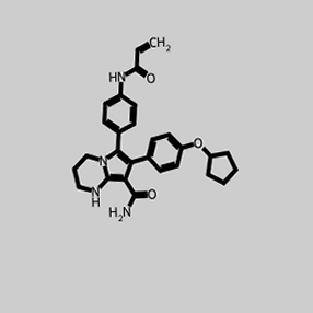 C=CC(=O)Nc1ccc(-c2c(-c3ccc(OC4CCCC4)cc3)c(C(N)=O)c3n2CCCN3)cc1